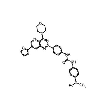 CC(=O)N(C)c1ccc(NC(=O)Nc2ccc(-c3nc(N4CCOCC4)c4ncc(-c5ccco5)cc4n3)cc2)cc1